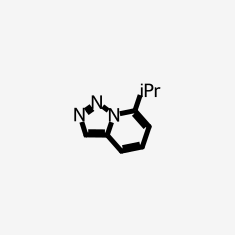 CC(C)c1cccc2cnnn12